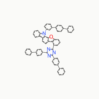 c1ccc(-c2ccc(-c3cccc(-n4c5ccccc5c5ccc6c(oc7cccc(-c8nc(-c9ccc(-c%10ccccc%10)cc9)nc(-c9ccc(-c%10ccccc%10)cc9)n8)c76)c54)c3)cc2)cc1